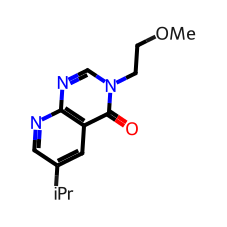 COCCn1cnc2ncc(C(C)C)cc2c1=O